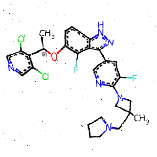 C[C@@H](Oc1ccc2[nH]nc(-c3cnc(N4CC(C)(CN5CCCC5)C4)c(F)c3)c2c1F)c1c(Cl)cncc1Cl